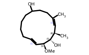 CO[C@H]1/C=C/CCCCC(O)CC/C(C)=C\[C@@H](C)[C@@H]1O